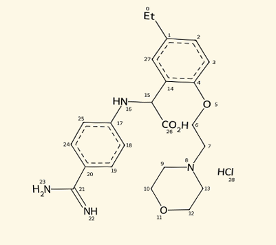 CCc1ccc(OCCN2CCOCC2)c(C(Nc2ccc(C(=N)N)cc2)C(=O)O)c1.Cl